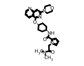 CN(C)C(=O)Cn1cccc1C(=O)N[C@H]1CC[C@@H](Oc2nc(N3CCOCC3)cc3ncccc23)CC1